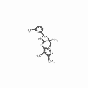 Cc1cccc(CNC2=Nc3c(C)c(C)nn3CC2(N)C#N)n1